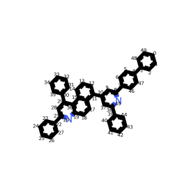 c1ccc(-c2ccc(-c3cc(-c4cccc5c4ccc4nc(-c6ccccc6)cc(-c6ccccc6)c45)cc(-c4ccccc4)n3)cc2)cc1